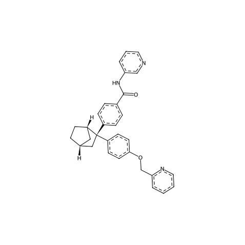 O=C(Nc1cccnc1)c1ccc([C@@]2(c3ccc(OCc4ccccn4)cc3)C[C@@H]3CC[C@H]2C3)cc1